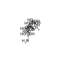 CC(=O)NCC(OC(CO)C(O)CO[C@@H]1O[C@@H]([C@H](O)CO)C(O)C[C@@H]1O)OC1C(O)C(O/C(=C(\O)OCCCCCN)C(O)CCO)OC1[C@H](O)CO